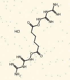 Cl.N=C(N)NC(=N)NOC(=O)CCCCC(=O)ONC(=N)NC(=N)N